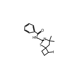 CC1(C)CC2(CCC2I)SC(NC(=O)c2ccccc2)=N1